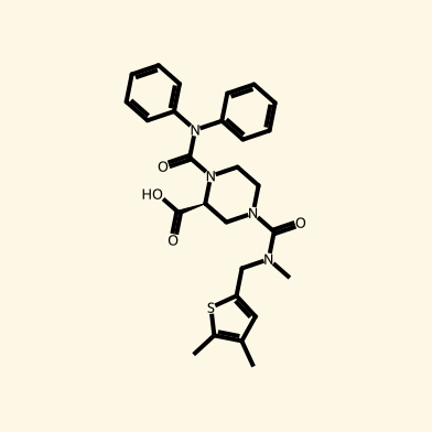 Cc1cc(CN(C)C(=O)N2CCN(C(=O)N(c3ccccc3)c3ccccc3)[C@H](C(=O)O)C2)sc1C